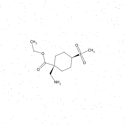 CCOC(=O)[C@]1(CN)CC[C@@H](S(C)(=O)=O)CC1